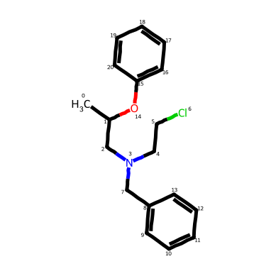 CC(CN(CCCl)Cc1ccccc1)Oc1ccccc1